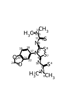 CN(C)C(=S)N=c1ssc(=NC(=S)N(C)C)n1-c1ccc2c(c1)OCO2